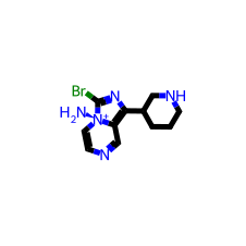 N[N@+]12C=CN=CC1=C(C1CCCNC1)N=C2Br